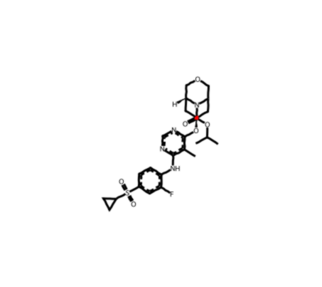 Cc1c(Nc2ccc(S(=O)(=O)C3CC3)cc2F)ncnc1O[C@@H]1CC2COC[C@@H](C1)N2C(=O)OC(C)C